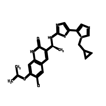 CC(C)Oc1cc2[nH]c(=O)c([C@H](C)Nc3ncc(-c4cncn4CC4CC4)s3)cc2cc1Cl